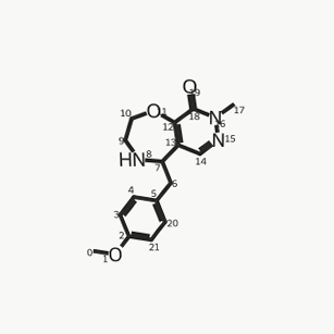 COc1ccc(CC2NCCOc3c2cnn(C)c3=O)cc1